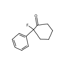 O=C1CCCCC1(F)c1ccccc1